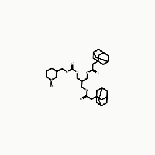 CCN1CCCC(COC(=O)OCC(COC(=O)CC23CC4CC(CC(C4)C2)C3)COC(=O)CC23CC4CC(CC(C4)C2)C3)C1